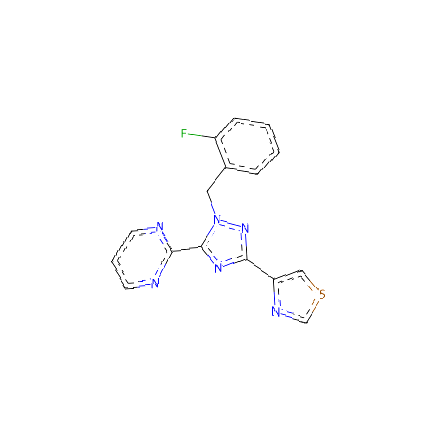 Fc1ccccc1Cn1nc(-c2cscn2)nc1-c1ncccn1